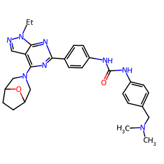 CCn1ncc2c(N3CC4CCC(C3)O4)nc(-c3ccc(NC(=O)Nc4ccc(CN(C)C)cc4)cc3)nc21